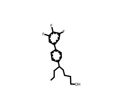 CCCC(CCCCO)c1ccc(-c2cc(F)c(F)c(F)c2)cc1